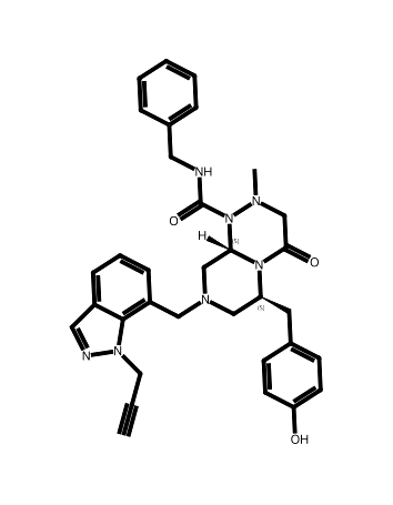 C#CCn1ncc2cccc(CN3C[C@H](Cc4ccc(O)cc4)N4C(=O)CN(C)N(C(=O)NCc5ccccc5)[C@H]4C3)c21